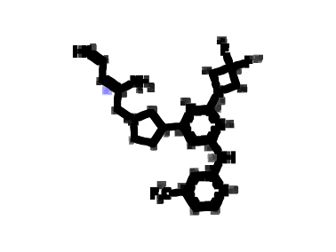 N=C/C=C(\N)CN1CCC(c2cc(Nc3cc(C(F)(F)F)ccn3)nc(N3CC(F)(F)C3)n2)C1